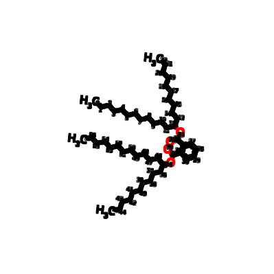 CCCCCCCCCCCCC(CCCCCCCCCC)OC(=O)c1ccccc1C(=O)OC(CCCCCCCCCC)CCCCCCCCCCCC